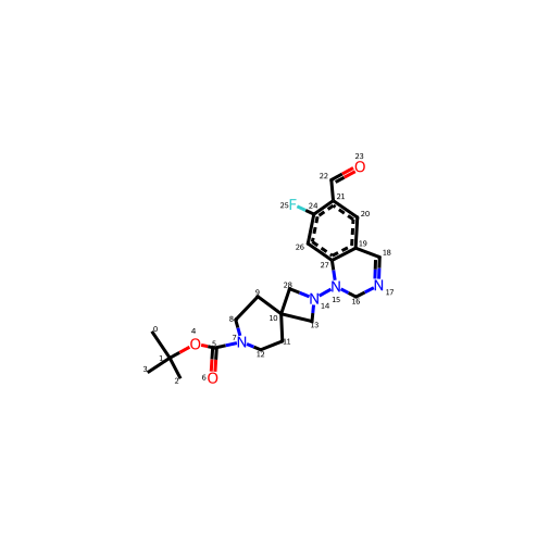 CC(C)(C)OC(=O)N1CCC2(CC1)CN(N1CN=Cc3cc(C=O)c(F)cc31)C2